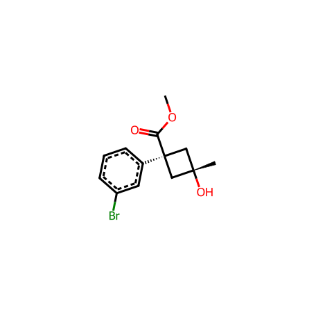 COC(=O)[C@]1(c2cccc(Br)c2)C[C@@](C)(O)C1